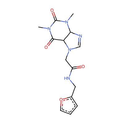 CN1C(=O)C2C(N=CN2CC(=O)NCc2ccco2)N(C)C1=O